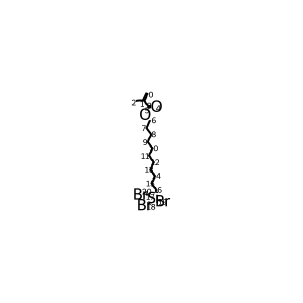 C=C(C)C(=O)OCCCCCCCCCCC[Si](Br)(Br)Br